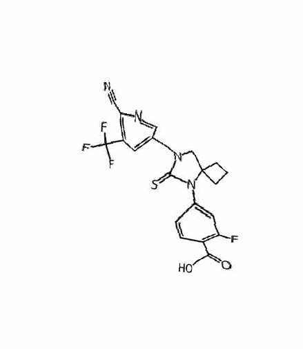 N#Cc1ncc(N2CC3(CCC3)N(c3ccc(C(=O)O)c(F)c3)C2=S)cc1C(F)(F)F